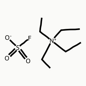 CC[N+](CC)(CC)CC.O=S(=O)([O-])F